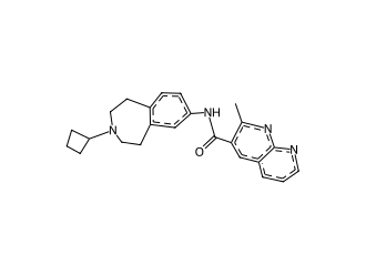 Cc1nc2ncccc2cc1C(=O)Nc1ccc2c(c1)CCN(C1CCC1)CC2